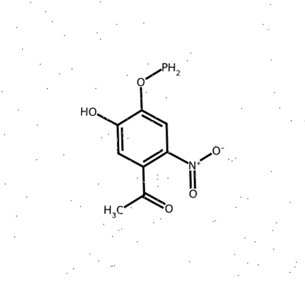 CC(=O)c1cc(O)c(OP)cc1[N+](=O)[O-]